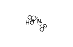 COc1ccccc1C1CCN(C[C@@H]2CCc3ccccc3[C@H](O)C2)CC1